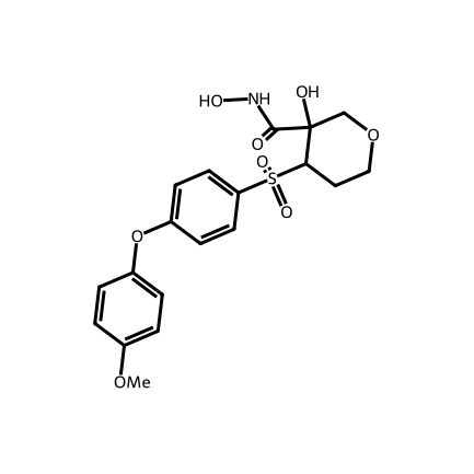 COc1ccc(Oc2ccc(S(=O)(=O)C3CCOCC3(O)C(=O)NO)cc2)cc1